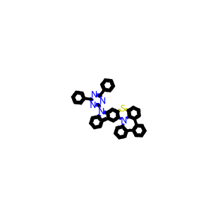 c1ccc(-c2nc(-c3ccccc3)nc(-n3c4ccccc4c4cc5c(cc43)Sc3cccc4c3N5c3ccccc3-c3ccccc3-4)n2)cc1